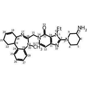 CCn1c(N2CCCC(N)C2)nc2ccn(CC3=NC4C=CCCC4c4ccccc4N3C)c(=O)c21